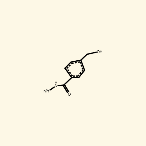 CCCNC(=O)c1ccc(CO)cc1